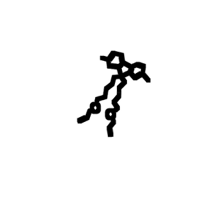 C=CCOCCCCCC1(CCCCCOCC=C)c2cc(C)ccc2-c2ccc(C)cc21